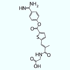 C/C(=C\c1ccc(C(=O)Oc2ccc(C(=N)N)cc2)s1)C(=O)NCC(=O)O